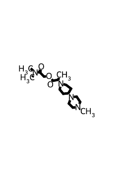 CC(C(=O)OCC(=O)N(C)C)N1CCC(N2CCN(C)CC2)CC1